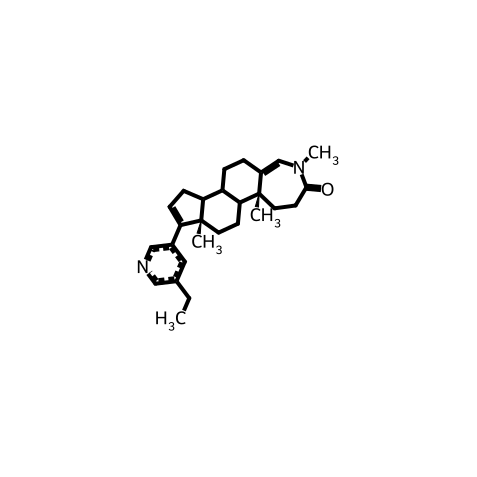 CCc1cncc(C2=CCC3C4CCC5=CN(C)C(=O)CC[C@]5(C)C4CC[C@]23C)c1